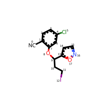 N#Cc1ccc(Cl)cc1OC(CCI)c1ccno1